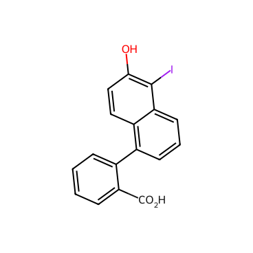 O=C(O)c1ccccc1-c1cccc2c(I)c(O)ccc12